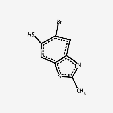 Cc1nc2cc(Br)c(S)cc2s1